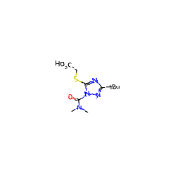 CN(C)C(=O)n1nc(C(C)(C)C)nc1SCC(=O)O